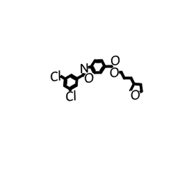 O=C(OCCCC1CCOC1)c1ccc2nc(-c3cc(Cl)cc(Cl)c3)oc2c1